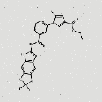 CCOC(=O)c1cc(C)n(-c2cccc(C(=O)Nc3nc4cc5c(cc4[nH]3)OC(F)(F)O5)c2)c1C